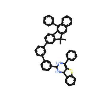 CC1(C)c2cc(-c3cccc(-c4cccc(C5NC(c6ccccc6)=C6Sc7ccccc7C6N5)c4)c3)ccc2-c2c1cc1ccccc1c2-c1ccccc1